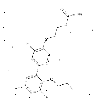 CCCOc1c(F)cc(C)cc1-c1ccc(SCCCC(=O)O)c(F)c1